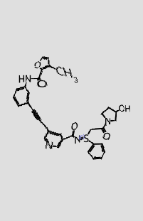 Cc1ccoc1C(=O)Nc1cccc(C#Cc2cncc(C(=O)/N=S(\CC(=O)N3CCC(O)C3)c3ccccc3)c2)c1